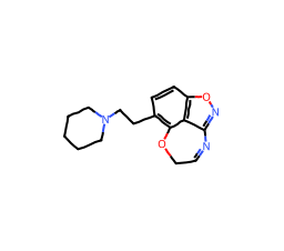 C1=Nc2noc3ccc(CCN4CCCCC4)c(c23)OC1